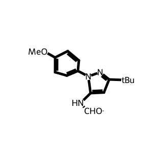 COc1ccc(-n2nc(C(C)(C)C)cc2N[C]=O)cc1